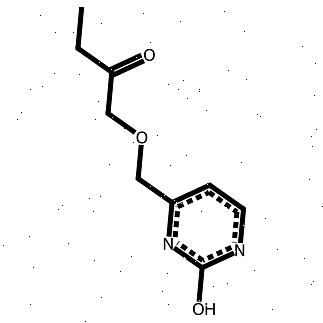 CCC(=O)COCc1ccnc(O)n1